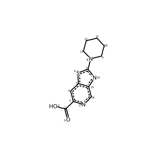 O=C(O)c1cc2sc(N3CCCCC3)nc2cn1